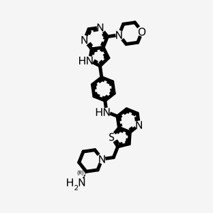 N[C@@H]1CCCN(Cc2cc3nccc(Nc4ccc(-c5cc6c(N7CCOCC7)ncnc6[nH]5)cc4)c3s2)C1